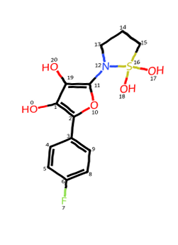 Oc1c(-c2ccc(F)cc2)oc(N2CCCS2(O)O)c1O